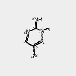 Cn1cc(Br)cnc1=N